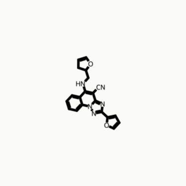 N#Cc1c(NCC2CC=CO2)c2ccccc2n2nc(-c3ccco3)nc12